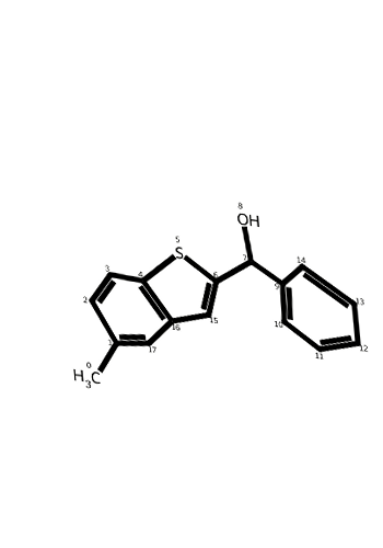 Cc1ccc2sc(C(O)c3ccccc3)cc2c1